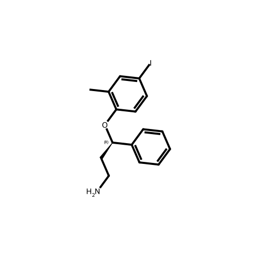 Cc1cc(I)ccc1O[C@H](CCN)c1ccccc1